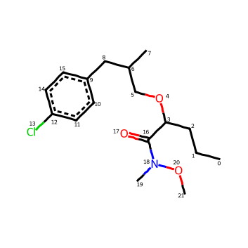 CCCC(OCC(C)Cc1ccc(Cl)cc1)C(=O)N(C)OC